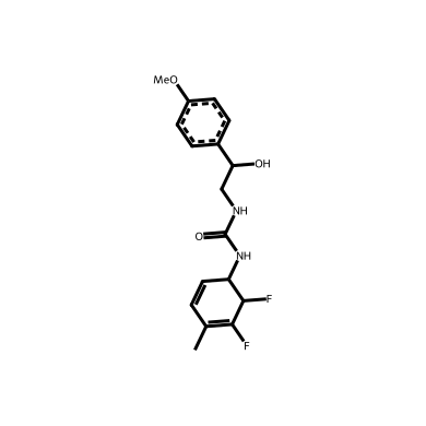 COc1ccc(C(O)CNC(=O)NC2C=CC(C)=C(F)C2F)cc1